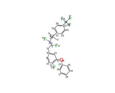 C[Si](C)(/C(F)=C(\F)Cc1ccc(F)c(Oc2ccccc2)c1)c1ccc(C(F)(F)F)cc1